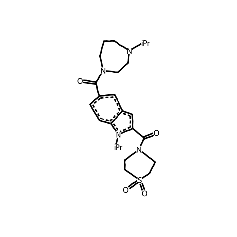 CC(C)N1CCCN(C(=O)c2ccc3c(c2)cc(C(=O)N2CCS(=O)(=O)CC2)n3C(C)C)CC1